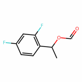 CC(O[C]=O)c1ccc(F)cc1F